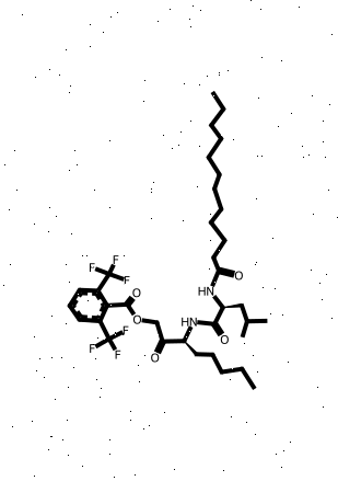 CCCCCCCCCCCC(=O)N[C@@H](CC(C)C)C(=O)N[C@@H](CCCCC)C(=O)COC(=O)c1c(C(F)(F)F)cccc1C(F)(F)F